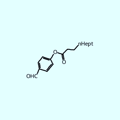 CCCCCCCCCC(=O)Oc1ccc(C=O)cc1